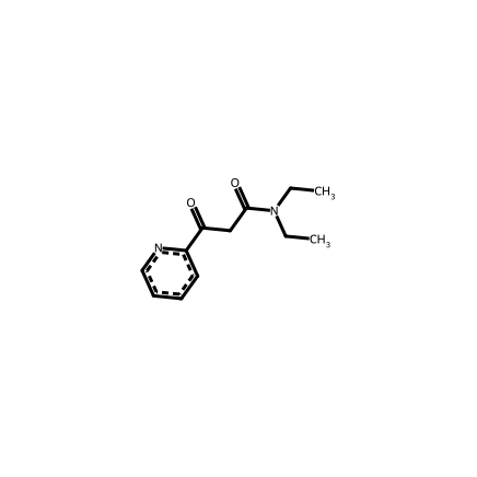 CCN(CC)C(=O)CC(=O)c1ccccn1